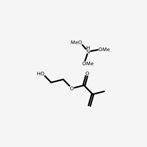 C=C(C)C(=O)OCCO.CO[SiH](OC)OC